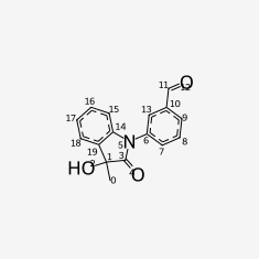 CC1(O)C(=O)N(c2cccc(C=O)c2)c2ccccc21